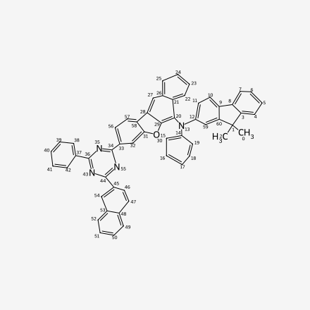 CC1(C)c2ccccc2-c2ccc(N(c3ccccc3)c3c4ccccc4cc4c3oc3cc(-c5nc(-c6ccccc6)nc(-c6ccc7ccccc7c6)n5)ccc34)cc21